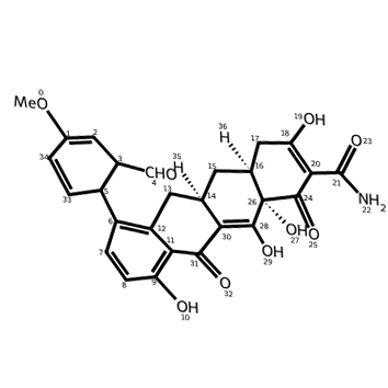 COC1=CC(C=O)C(c2ccc(O)c3c2C[C@H]2C[C@H]4CC(O)=C(C(N)=O)C(=O)[C@@]4(O)C(O)=C2C3=O)C=C1